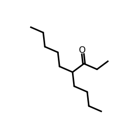 CCCCCC(CCCC)C(=O)CC